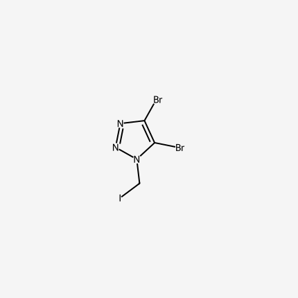 Brc1nnn(CI)c1Br